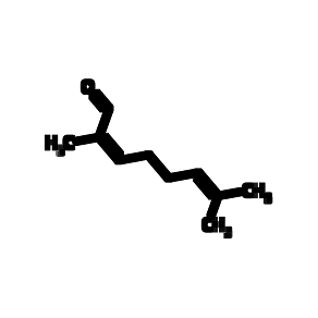 CC(C)=CCC/C=C(/C)C=O